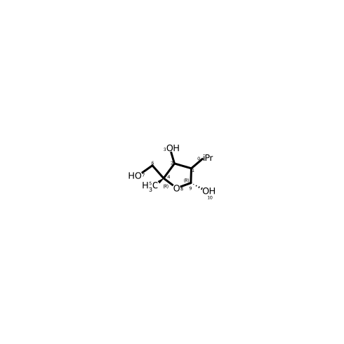 CC(C)C1C(O)[C@@](C)(CO)O[C@H]1O